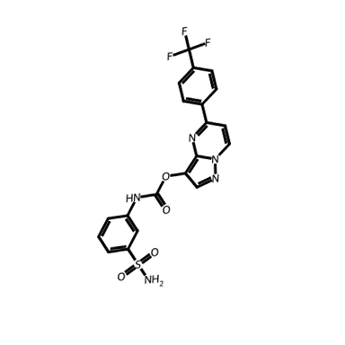 NS(=O)(=O)c1cccc(NC(=O)Oc2cnn3ccc(-c4ccc(C(F)(F)F)cc4)nc23)c1